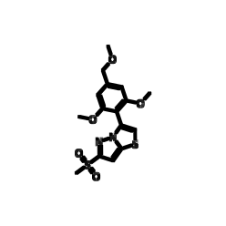 COCc1cc(OC)c(-c2csc3cc(S(C)(=O)=O)nn23)c(OC)c1